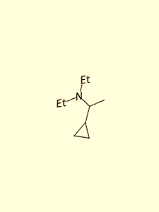 CCN(CC)C(C)C1CC1